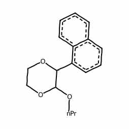 CCCOC1OCCO[C]1c1cccc2ccccc12